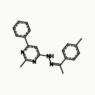 CC(=NNc1cc(-c2ccccc2)nc(C)n1)c1ccc(C)cc1